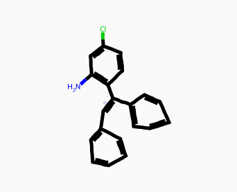 Nc1cc(Cl)ccc1/C(=C/c1ccccc1)c1ccccc1